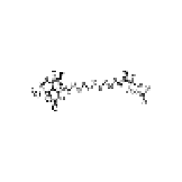 COc1ccc(C(F)(F)F)c2c(OCCCCCCCCCCSC(=O)C(C)(C)CCC(C)C)cc(=O)oc12